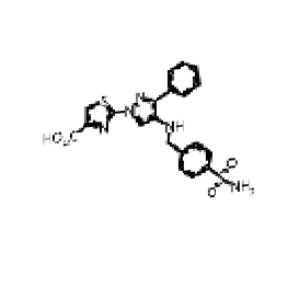 NS(=O)(=O)c1ccc(CNc2cn(-c3nc(C(=O)O)cs3)nc2-c2ccccc2)cc1